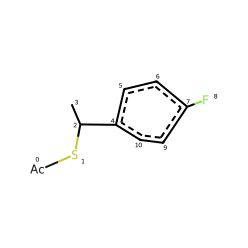 CC(=O)SC(C)c1ccc(F)cc1